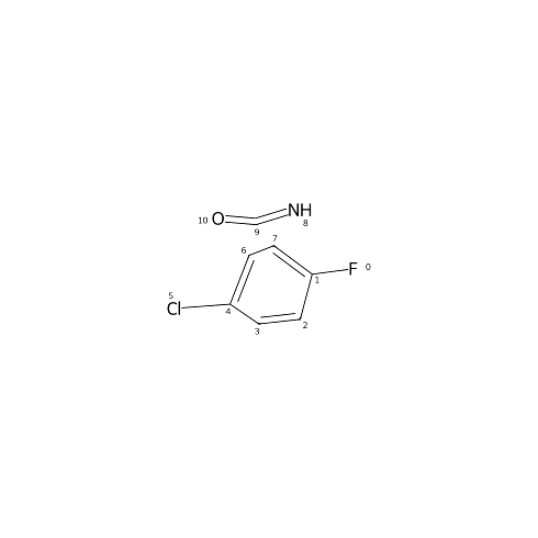 Fc1ccc(Cl)cc1.N=C=O